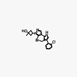 Cc1c(-c2[nH]cc(-c3ccccc3Cl)c2CBr)cnn1C1CC(C)(O)C1